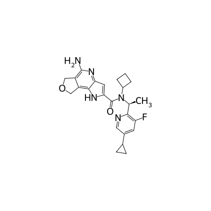 C[C@@H](c1ncc(C2CC2)cc1F)N(C(=O)c1cc2nc(N)c3c(c2[nH]1)COC3)C1CCC1